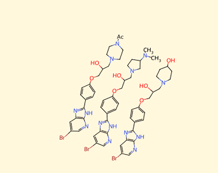 CC(=O)N1CCN(CC(O)COc2ccc(-c3nc4cc(Br)cnc4[nH]3)cc2)CC1.CN(C)C1CCN(CC(O)COc2ccc(-c3nc4cc(Br)cnc4[nH]3)cc2)C1.OC1CCN(CC(O)COc2ccc(-c3nc4cc(Br)cnc4[nH]3)cc2)CC1